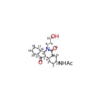 CC(=O)Nc1ccc2c3c(n(CCCO)c(=O)c2c1)-c1ccccc1C3=O